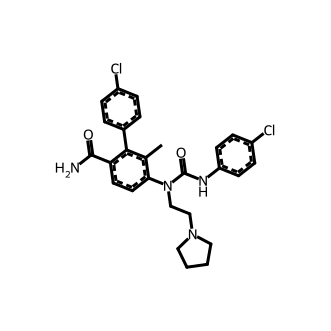 Cc1c(N(CCN2CCCC2)C(=O)Nc2ccc(Cl)cc2)ccc(C(N)=O)c1-c1ccc(Cl)cc1